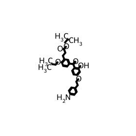 CC(C)COC(=O)CCc1cc(C(=O)c2ccc(OCCc3ccc(N)cc3)cc2O)ccc1OCC(C)C